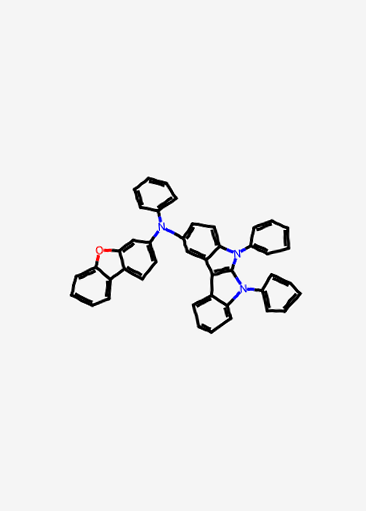 c1ccc(N(c2ccc3c(c2)oc2ccccc23)c2ccc3c(c2)c2c4ccccc4n(-c4ccccc4)c2n3-c2ccccc2)cc1